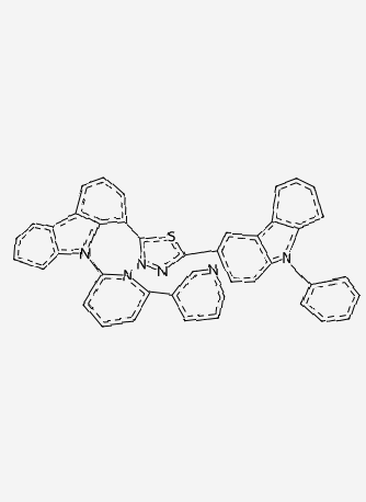 c1ccc(-n2c3ccccc3c3cc(-c4nnc(-c5cccc6c7ccccc7n(-c7cccc(-c8cccnc8)n7)c56)s4)ccc32)cc1